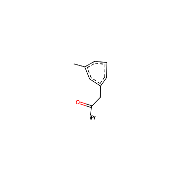 Cc1cccc(CC(=O)C(C)C)c1